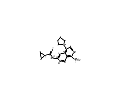 CNc1ncc(N2CCCC2)c2cc(NC(=O)C3CC3)ncc12